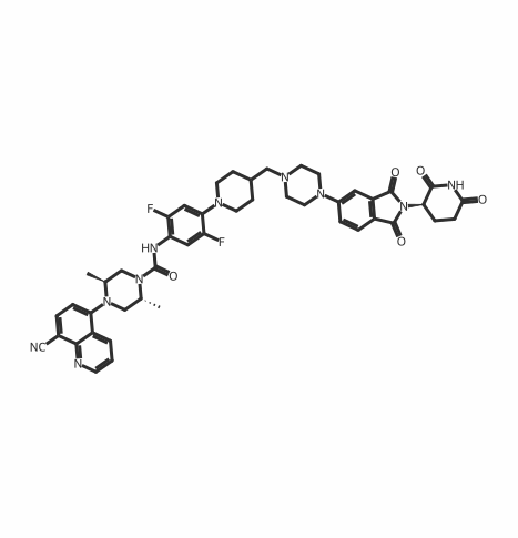 C[C@@H]1CN(c2ccc(C#N)c3ncccc23)[C@@H](C)CN1C(=O)Nc1cc(F)c(N2CCC(CN3CCN(c4ccc5c(c4)C(=O)N([C@@H]4CCC(=O)NC4=O)C5=O)CC3)CC2)cc1F